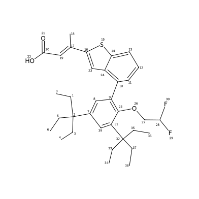 CCC(CC)(CC)c1cc(-c2cccc3sc(C(C)=CC(=O)O)cc23)c(OCC(F)F)c(C(CC)(CC)CC)c1